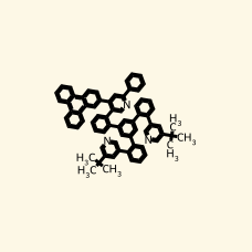 CC(C)(C)c1cncc(-c2ccccc2-c2cc(-c3ccccc3-c3cncc(C(C)(C)C)c3)cc(-c3ccccc3-c3cnc(-c4ccccc4)cc3-c3ccc4c5ccccc5c5ccccc5c4c3)c2)c1